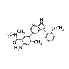 COc1ccccc1-c1c[nH]c2ncc(C3C=C(C(=O)N(C)C)C(N)=CC3C)cc12